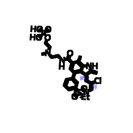 C=c1[nH]c2c(C)c(C(=O)NCCN(C)CCOP(=O)(O)O)cc(-c3cccc(S(=O)(=O)CC)c3)c2/c1=C/C(Cl)=C\N